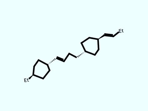 CCC=C[C@H]1CC[C@H](CCC=C[C@H]2CC[C@H](CC)CC2)CC1